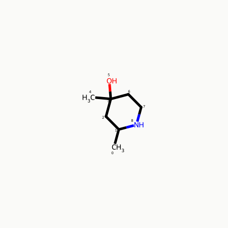 CC1CC(C)(O)CCN1